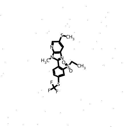 CCS(=O)(=O)c1cc(SC(F)(F)F)ccc1-c1nc2cc(SC)cnc2n1C